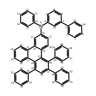 c1ccc(-c2cccc(N(c3ccccc3)c3ccc4c(c3)c3ccccc3c3c(-c5ccccc5)cc(-c5ccccc5)c(-c5ccccc5)c43)c2)cc1